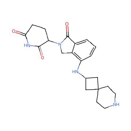 O=C1CCC(N2Cc3c(NC4CC5(CCNCC5)C4)cccc3C2=O)C(=O)N1